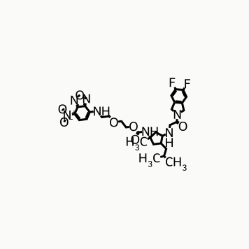 CC(C)CC1CC(C)(NC(=O)OCCOCCNc2ccc([N+](=O)[O-])c3nonc23)CC1NCC(=O)N1Cc2cc(F)c(F)cc2C1